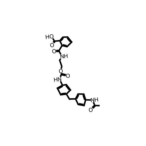 CC(=O)Nc1ccc(Cc2ccc(NC(=O)OCCNC(=O)c3ccccc3C(=O)O)cc2)cc1